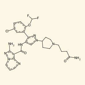 NC(=O)CCCN1CCC(n2cc(NC(=O)c3c(N)nn4cccnc34)c(-c3cc(Cl)ccc3OC(F)F)n2)CC1